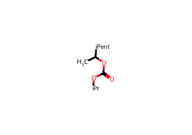 CCCC(C)C(C)OC(=O)OC(C)C